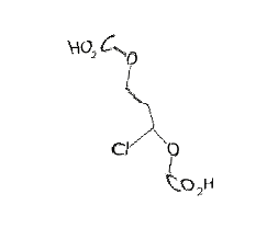 O=C(O)OCCC(Cl)OC(=O)O